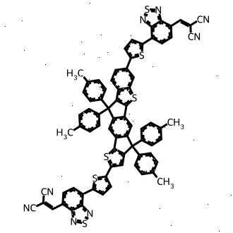 Cc1ccc(C2(c3ccc(C)cc3)c3cc4c(cc3-c3sc(-c5ccc(-c6ccc(C=C(C#N)C#N)c7nsnc67)s5)cc32)C(c2ccc(C)cc2)(c2ccc(C)cc2)c2c-4sc3cc(-c4ccc(-c5ccc(C=C(C#N)C#N)c6nsnc56)s4)ccc23)cc1